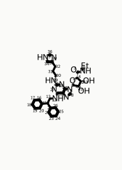 CCNC(=O)[C@H]1O[C@@H](n2cnc3c(NCC(c4ccccc4)c4ccccc4)nc(NCCCc4c[nH]cn4)nc32)[C@H](O)[C@@H]1O